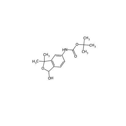 CC(C)(C)OC(=O)Nc1ccc2c(c1)C(C)(C)OC2O